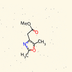 COC(=O)Cc1nc(C)oc1C